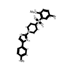 CCCc1ccc(-c2csc(N3CCC(S(=O)(=O)c4cc(Br)ccc4OC)CC3)n2)cc1